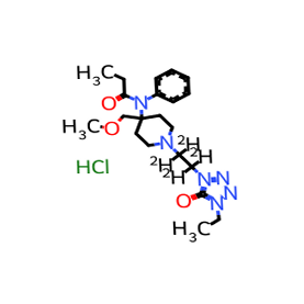 Cl.[2H]C([2H])(N1CCC(COC)(N(C(=O)CC)c2ccccc2)CC1)C([2H])([2H])n1nnn(CC)c1=O